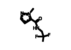 Cn1nccc1C(=O)NCC(C)(F)F